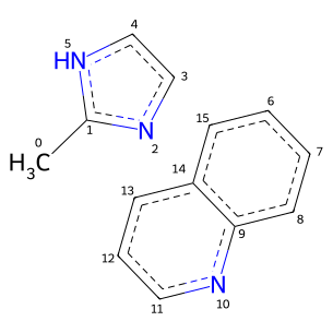 Cc1ncc[nH]1.c1ccc2ncccc2c1